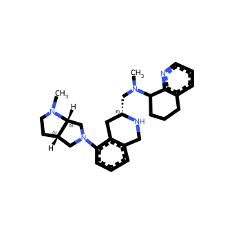 CN(C[C@H]1Cc2c(cccc2N2C[C@@H]3CCN(C)[C@@H]3C2)CN1)C1CCCc2cccnc21